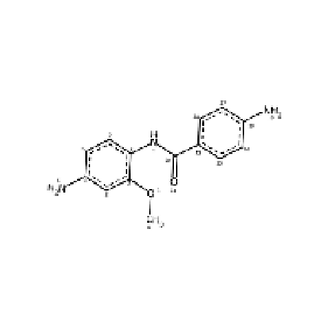 COc1cc(N)ccc1NC(=O)c1ccc(N)cc1